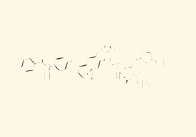 COc1cc2c(Oc3ccc(NC(=O)c4ccccc4)cc3)ccnc2cc1OCCC(NC(=O)OC(C)(C)C)C(=O)OC1CCC(C)C1